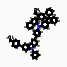 C=Cc1ccc(-c2ccc3c(c2)c2cc(-c4ccc(N(c5ccc6c(c5)C(c5ccccc5)(c5ccc(C=C)cc5)c5ccccc5-6)c5cccc6ccccc56)cc4)ccc2n3-c2ccccc2)cc1